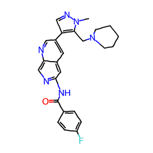 Cn1ncc(-c2cnc3cnc(NC(=O)c4ccc(F)cc4)cc3c2)c1CN1CCCCC1